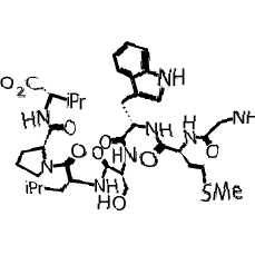 CSCC[C@H](NC(=O)CN)C(=O)N[C@@H](Cc1c[nH]c2ccccc12)C(=O)N[C@@H](CO)C(=O)N[C@@H](CC(C)C)C(=O)N1CCC[C@H]1C(=O)N[C@H](C(=O)O)C(C)C